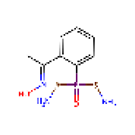 CC(=NO)c1ccccc1P(=O)(SN)SN